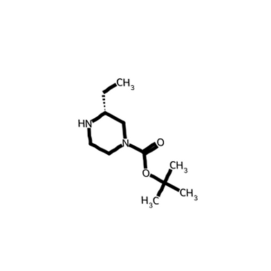 CC[C@@H]1CN(C(=O)OC(C)(C)C)CCN1